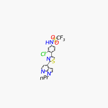 CCCn1ccc2c(-c3nc(-c4ccc(NS(=O)(=O)C(F)(F)F)cc4Cl)cs3)ccnc21